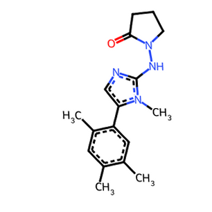 Cc1cc(C)c(-c2cnc(NN3CCCC3=O)n2C)cc1C